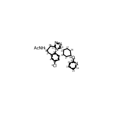 CC(=O)N[C@H]1Cc2cc(Cl)ccc2-n2c(nnc2[C@H]2CC[C@H](Oc3ccccn3)CC2)C1